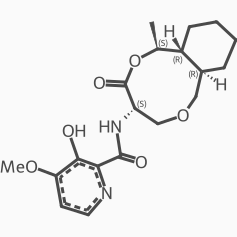 COc1ccnc(C(=O)N[C@H]2COC[C@@H]3CCCC[C@H]3[C@H](C)OC2=O)c1O